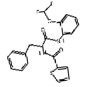 O=C(NC(Cc1ccccc1)C(=O)Nc1ccccc1OC(F)F)c1cccs1